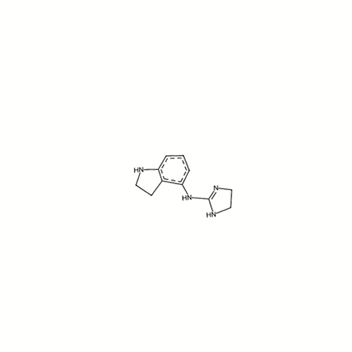 c1cc2c(c(NC3=NCCN3)c1)CCN2